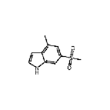 Cc1cc(S(C)(=O)=O)cc2[nH]ccc12